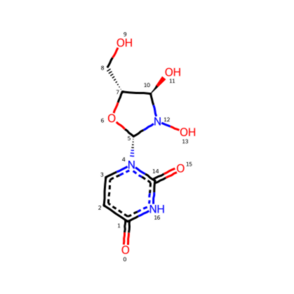 O=c1ccn([C@@H]2O[C@H](CO)[C@@H](O)N2O)c(=O)[nH]1